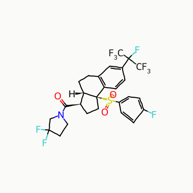 O=C([C@@H]1CC[C@@]2(S(=O)(=O)c3ccc(F)cc3)c3ccc(C(F)(C(F)(F)F)C(F)(F)F)cc3CC[C@@H]12)N1CCC(F)(F)C1